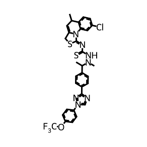 CC1C=C2CS/C(=N\C(=S)NN(C)C(C)c3ccc(-c4ncn(-c5ccc(OC(F)(F)F)cc5)n4)cc3)N2c2cc(Cl)ccc21